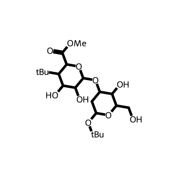 COC(=O)C1OC(OC2CC(OC(C)(C)C)OC(CO)C2O)C(O)C(O)C1C(C)(C)C